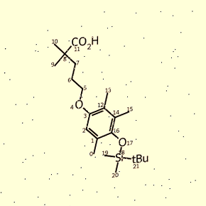 Cc1cc(OCCCC(C)(C)C(=O)O)c(C)c(C)c1O[Si](C)(C)C(C)(C)C